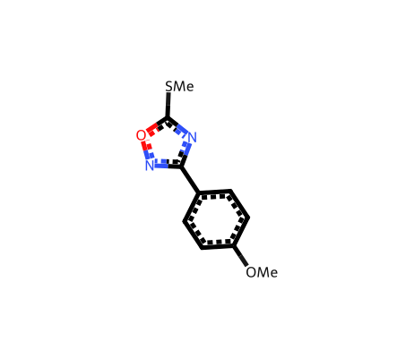 COc1ccc(-c2noc(SC)n2)cc1